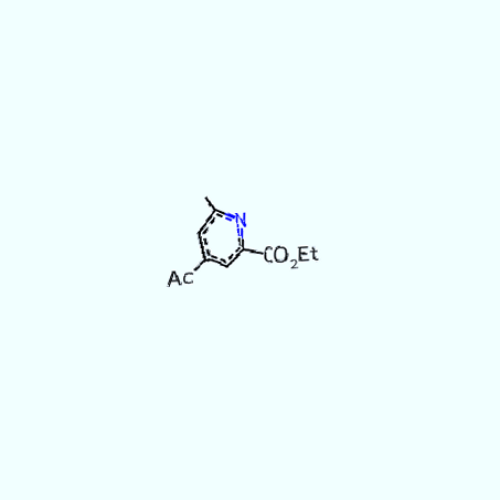 CCOC(=O)c1cc(C(C)=O)cc(C)n1